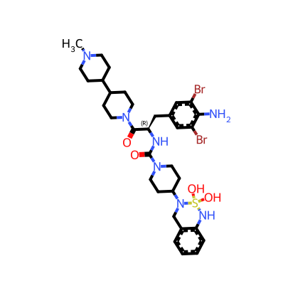 CN1CCC(C2CCN(C(=O)[C@@H](Cc3cc(Br)c(N)c(Br)c3)NC(=O)N3CCC(N4Cc5ccccc5NS4(O)O)CC3)CC2)CC1